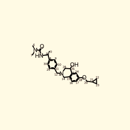 C[C@H](NC(=O)N(C)C)c1ccc(CN2Cc3ccc(OCC4CC4)cc3C(O)C2)cc1